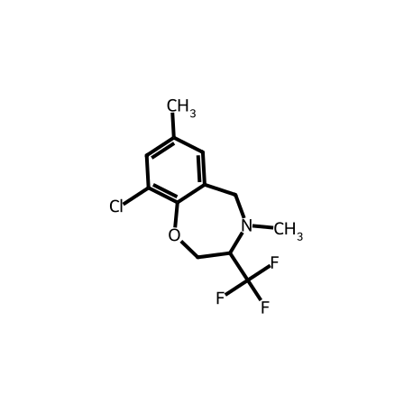 Cc1cc(Cl)c2c(c1)CN(C)C(C(F)(F)F)CO2